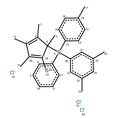 CC1=C(C)C(C)([Si](c2ccccc2)(c2ccc(C)cc2)c2cc(C)cc(C)c2)[C]([Ti+3])=C1C.[Cl-].[Cl-].[Cl-]